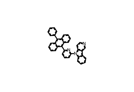 c1ccc(-c2c3ccccc3c(-c3cccc(-n4c5ccccc5c5cnccc54)n3)c3ccccc23)cc1